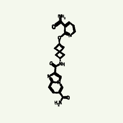 NC(=O)c1ccc2nc(C(=O)N[C@H]3CC4(C3)C[C@H](Oc3ncccc3C(N)=O)C4)cn2c1